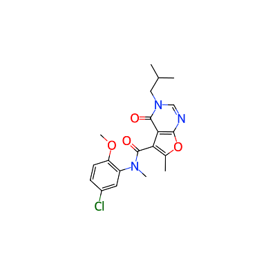 COc1ccc(Cl)cc1N(C)C(=O)c1c(C)oc2ncn(CC(C)C)c(=O)c12